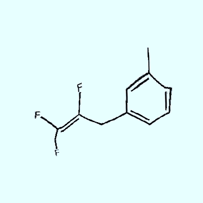 Cc1cccc(CC(F)=C(F)F)c1